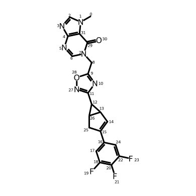 Cn1cnc2ncn(Cc3nc(C4C5C=C(c6cc(F)c(F)c(F)c6)CC54)no3)c(=O)c21